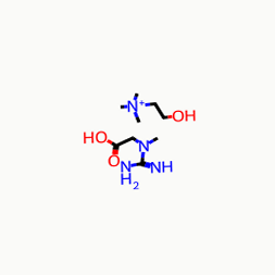 CN(CC(=O)O)C(=N)N.C[N+](C)(C)CCO